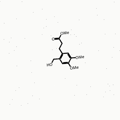 COC(=O)CCc1cc(OC)c(OC)cc1CO